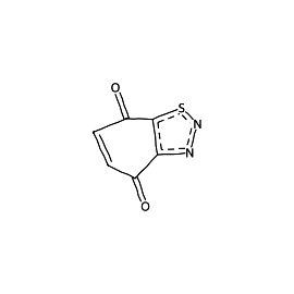 O=C1C=CC(=O)c2snnc21